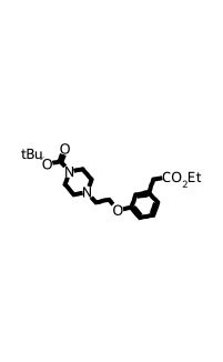 CCOC(=O)Cc1cccc(OCCN2CCN(C(=O)OC(C)(C)C)CC2)c1